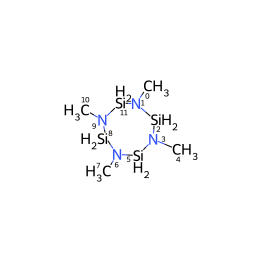 CN1[SiH2]N(C)[SiH2]N(C)[SiH2]N(C)[SiH2]1